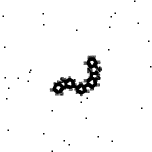 c1cc(-c2ccc3sc4ccccc4c3c2)cc(-c2ccc3sc4nc5ccccc5nc4c3c2)c1